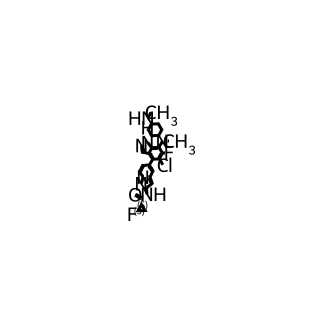 CN[C@H]1CC[C@H](N(C)c2c(F)c(Cl)c(-c3ccn4nc(NC(=O)[C@@H]5C[C@@H]5F)cc4c3)c3cn[nH]c23)CC1